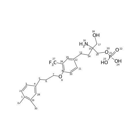 Cc1ccc(CCCOc2ccc(CCC(N)(CO)COP(=O)(O)O)cc2C(F)(F)F)cc1C